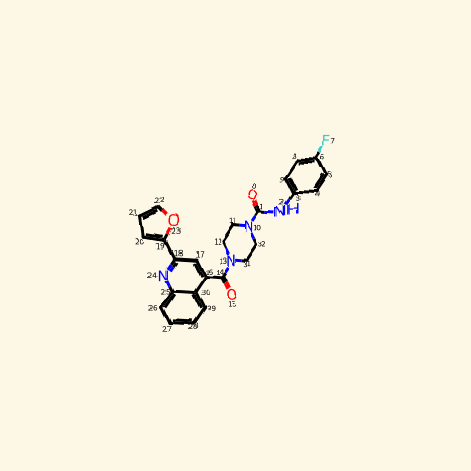 O=C(Nc1ccc(F)cc1)N1CCN(C(=O)c2cc(-c3ccco3)nc3ccccc23)CC1